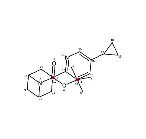 CC(C)(C)OC(=O)N1C2CC1CN(c1ncc(C3CC3)cn1)C2